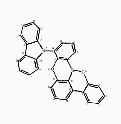 c1ccc2c(c1)OB1c3cccc(-n4c5ccccc5c5ccccc54)c3Oc3cccc-2c31